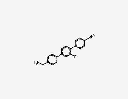 N#Cc1ccc(-c2ccc(-c3ccc(CN)cc3)cc2F)cc1